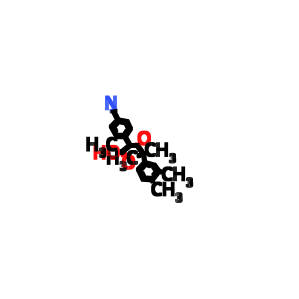 Cc1ccc(C(C)(C)C(=O)C(C(=O)O)c2ccc(C#N)cc2C)cc1C